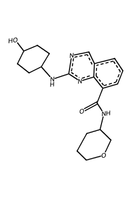 O=C(NC1CCCOC1)c1cccc2cnc(NC3CCC(O)CC3)nc12